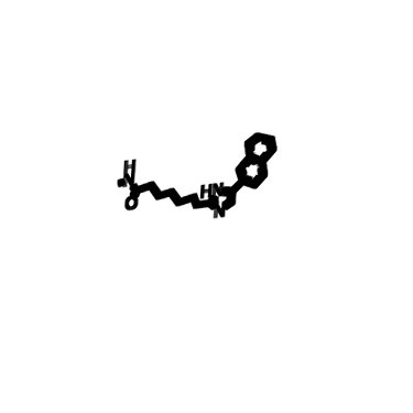 CNC(=O)CCCCCCc1ncc(-c2ccc3ccccc3c2)[nH]1